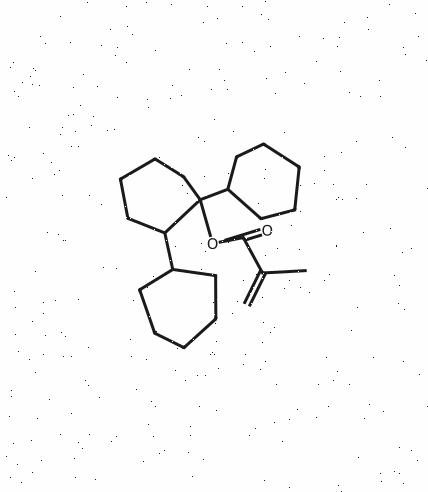 C=C(C)C(=O)OC1(C2CCCCC2)CCCCC1C1CCCCC1